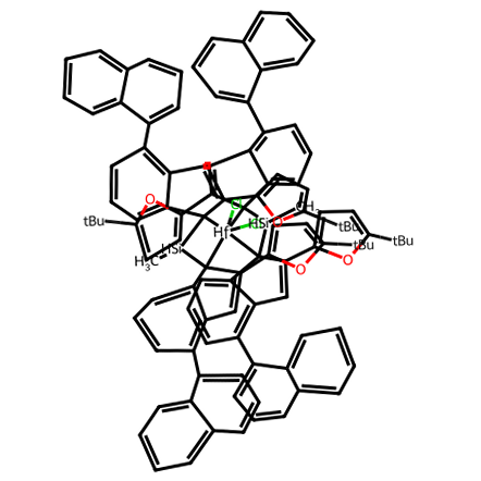 C[SiH]1[C]2(C(c3ccc(C(C)(C)C)o3)=Cc3c(-c4cccc5ccccc45)cccc32)[Hf]2([Cl])([Cl])([C]13C(c1ccc(C(C)(C)C)o1)=Cc1c(-c4cccc5ccccc45)cccc13)[C]1(C(c3ccc(C(C)(C)C)o3)=Cc3c(-c4cccc5ccccc45)cccc31)[SiH](C)[C]21C(c2ccc(C(C)(C)C)o2)=Cc2c(-c3cccc4ccccc34)cccc21